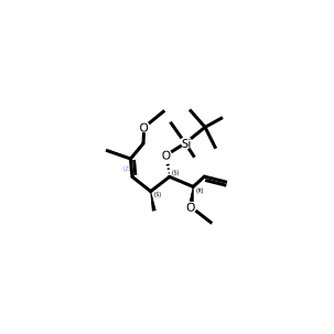 C=C[C@@H](OC)[C@@H](O[Si](C)(C)C(C)(C)C)[C@@H](C)/C=C(/C)COC